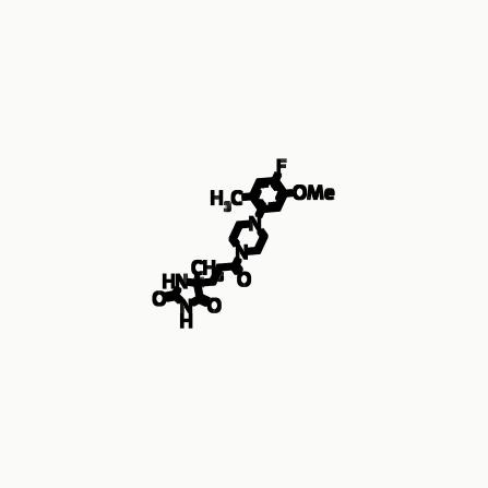 COc1cc(N2CCN(C(=O)CC[C@@]3(C)NC(=O)NC3=O)CC2)c(C)cc1F